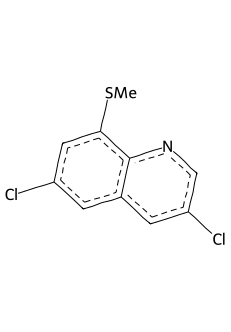 [C]Sc1cc(Cl)cc2cc(Cl)cnc12